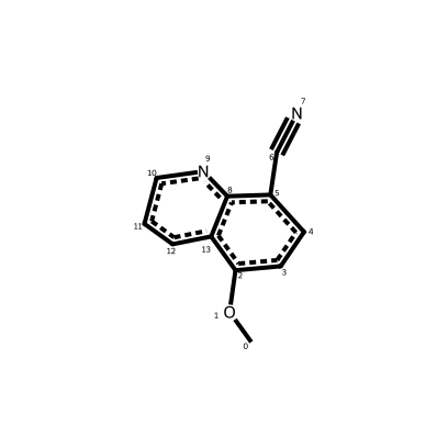 COc1ccc(C#N)c2ncccc12